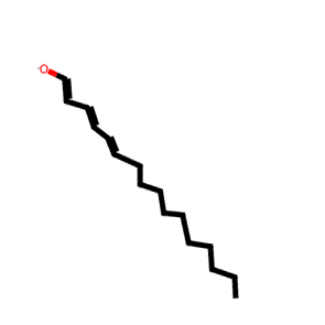 CCCCCCCCCC/C=C/C=C/C=C/[O]